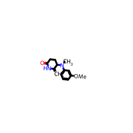 C=C1NC(=O)CCC1N(C)c1cccc(OC)c1